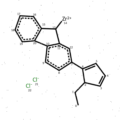 CCC1C=CC=C1c1ccc2c(c1)[CH]([Zr+2])c1ccccc1-2.[Cl-].[Cl-]